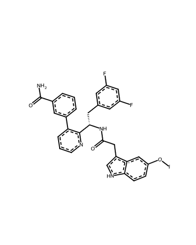 NC(=O)c1cccc(-c2cccnc2[C@H](Cc2cc(F)cc(F)c2)NC(=O)Cc2c[nH]c3ccc(OI)cc23)c1